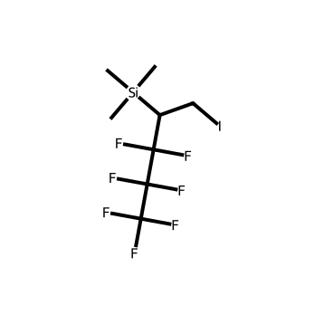 C[Si](C)(C)C(CI)C(F)(F)C(F)(F)C(F)(F)F